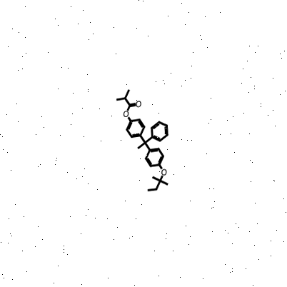 CCC(C)(C)Oc1ccc(C(C)(c2ccccc2)c2ccc(OC(=O)C(C)C)cc2)cc1